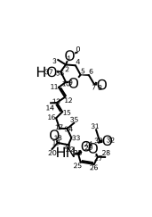 COC1(C)C[C@@H](CC=O)OC(/C=C/C(C)=C/CC2OC(C)C(NC(=O)/C=C\C(C)OC(C)=O)CC2C)[C@H]1O